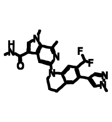 CNC(=O)c1cn(C)c2c(C)nc(N3CCCc4cc(-c5cnn(C)c5)c(C(F)F)cc43)cc12